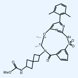 COC(=O)NC1CC2(C1)CC(N1C(=O)c3cccc(c3)S(=O)(=O)Nc3nc(cc(-c4c(C)cccc4C)n3)O[C@@H](C)[C@H]1C)C2